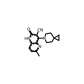 Cc1ccc2[nH]c(=O)c(C#N)c(N3CCC4(CC3)CC4)c2n1